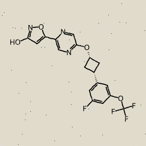 Oc1cc(-c2cnc(O[C@H]3C[C@@H](c4cc(F)cc(OC(F)(F)F)c4)C3)cn2)on1